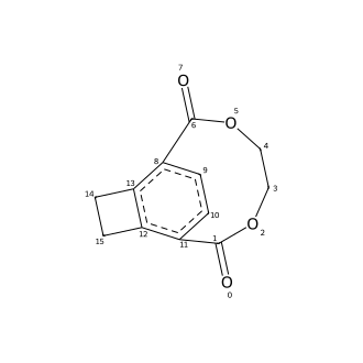 O=C1OCCOC(=O)c2ccc1c1c2CC1